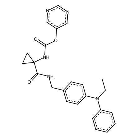 CCN(c1ccccc1)c1ccc(CNC(=O)C2(NC(=O)Oc3cncnc3)CC2)cc1